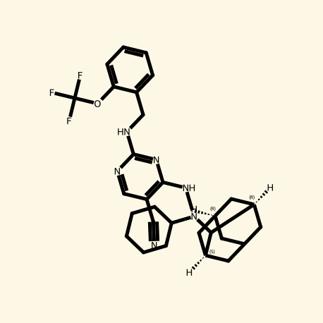 N#Cc1cnc(NCc2ccccc2OC(F)(F)F)nc1NC[C@@]12CC3C[C@H](C1)C(NC1CCCCC1)[C@@H](C3)C2